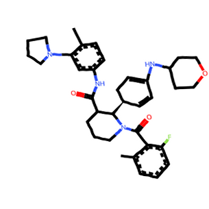 Cc1ccc(NC(=O)C2CCCN(C(=O)c3c(C)cccc3F)C2[C@@H]2C=CC(NC3CCOCC3)=CC2)cc1N1CCCC1